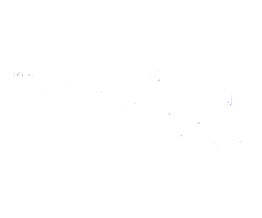 CCCCCCCCCCCCCCCCCCC1CNCCO1.Cl